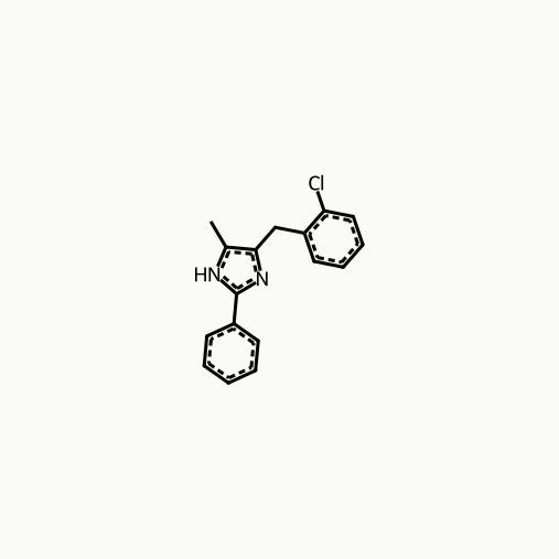 Cc1[nH]c(-c2ccccc2)nc1Cc1ccccc1Cl